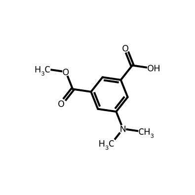 COC(=O)c1cc(C(=O)O)cc(N(C)C)c1